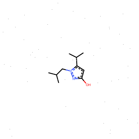 CC(C)Cn1nc(O)cc1C(C)C